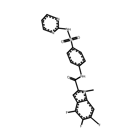 Cn1c(C(=O)Nc2ccc(S(=O)(=O)Nc3ncccn3)cc2)cc2c(F)c(F)c(F)cc21